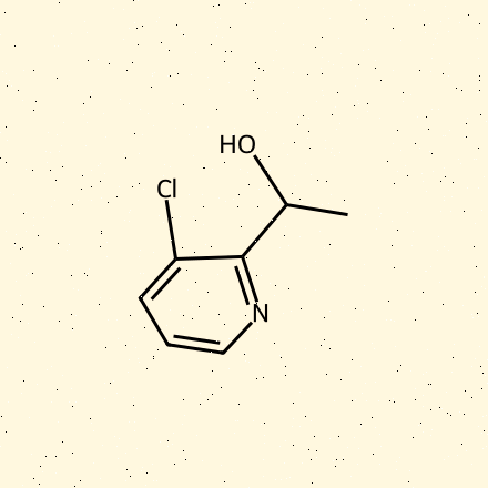 CC(O)c1ncccc1Cl